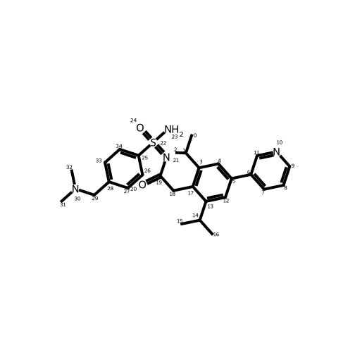 CC(C)c1cc(-c2cccnc2)cc(C(C)C)c1CC(=O)N=S(N)(=O)c1ccc(CN(C)C)cc1